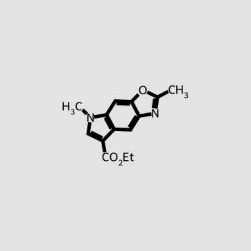 CCOC(=O)c1cn(C)c2cc3oc(C)nc3cc12